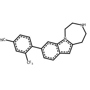 N#Cc1ccc(-c2ccc3cc4n(c3c2)CCNCC4)c(C(F)(F)F)c1